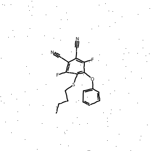 CCCCSc1c(F)c(C#N)c(C#N)c(F)c1Oc1ccccc1